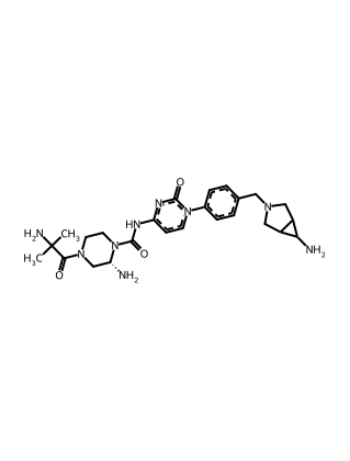 CC(C)(N)C(=O)N1CCN(C(=O)Nc2ccn(-c3ccc(CN4CC5C(N)C5C4)cc3)c(=O)n2)[C@H](N)C1